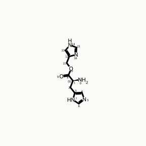 N[C@@H](Cc1cnc[nH]1)C(=O)OCc1c[nH]cn1